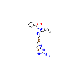 N=C(N)Nc1nc(CSCCN/C(=C/[N+](=O)[O-])NCC(O)c2ccccc2)cs1